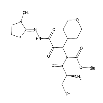 CC(C)C[C@H](N)C(=O)N(C(=O)OC(C)(C)C)C(C(=O)C(=O)N/N=C1\SCCN1C)C1CCOCC1